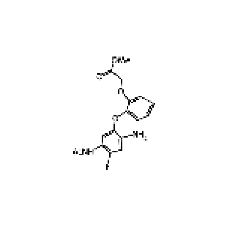 COC(=O)COc1ccccc1Oc1cc(NC(C)=O)c(F)cc1N